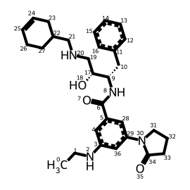 CCNc1cc(C(=O)N[C@@H](Cc2ccccc2)[C@H](O)CNCC2CC=CCC2)cc(N2CCCC2=O)c1